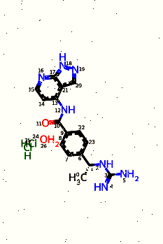 C[C@@H](NC(=N)N)c1ccc(C(=O)Nc2ccnc3[nH]ncc23)cc1.Cl.Cl.O